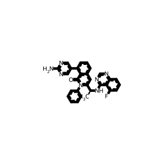 C[C@H](Nc1ncnc2cccc(F)c12)c1cc2cccc(-c3cnc(N)nc3)c2c(=O)n1-c1ccccc1